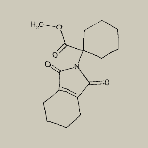 COC(=O)C1(N2C(=O)C3=C(CCCC3)C2=O)CCCCC1